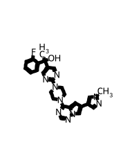 Cn1cc(-c2cc3c(N4CCN(c5ncc(C(C)(O)c6ccccc6F)cn5)CC4)ncnn3c2)cn1